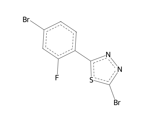 Fc1cc(Br)ccc1-c1nnc(Br)s1